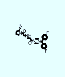 N#C[C@@H]1CCCN1C(=O)CNCCC(=O)N1CCN(C(c2ccc(F)cc2)c2ccc(F)cc2)CC1